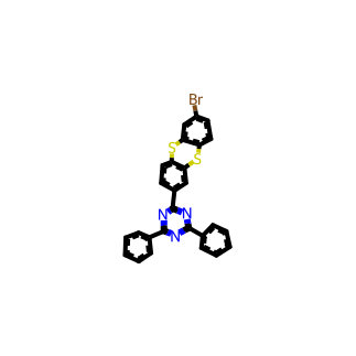 Brc1ccc2c(c1)Sc1ccc(-c3nc(-c4ccccc4)nc(-c4ccccc4)n3)cc1S2